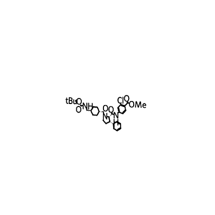 COC(=O)c1ccc(NC(=O)[C@@H]2[C@H](c3ccccc3)CCN2C(=O)[C@H]2CC[C@H](CNC(=O)OC(C)(C)C)CC2)cc1Cl